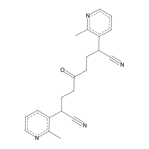 Cc1ncccc1C(C#N)CCC(=O)CCC(C#N)c1cccnc1C